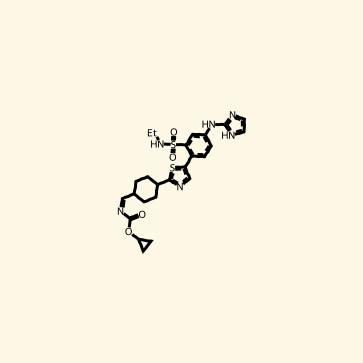 CCNS(=O)(=O)c1cc(Nc2ncc[nH]2)ccc1-c1cnc(C2CCC(/C=N\C(=O)OC3CC3)CC2)s1